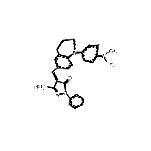 CN(C)c1ccc(N2CCCc3cc(/C=C4\C(=O)N(c5ccccc5)N=C4C(=O)O)ccc32)cc1